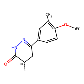 CCCOc1ccc(C2=NNC(=O)[C@@H](C)C2)cc1C(F)(F)F